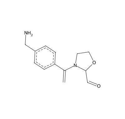 C=C(c1ccc(CN)cc1)N1CCOC1C=O